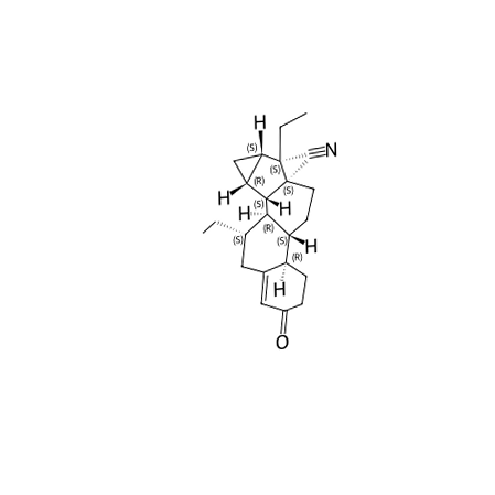 CC[C@H]1CC2=CC(=O)CC[C@@H]2[C@H]2CC[C@@]3(C)[C@@H]([C@@H]4C[C@@H]4[C@@]3(C#N)CC)[C@H]12